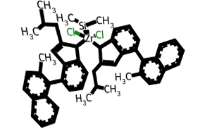 Cc1ccc2ccccc2c1-c1cccc2c1C=C(CC(C)C)[CH]2[Zr]([Cl])([Cl])([CH]1C(CC(C)C)=Cc2c(-c3c(C)ccc4ccccc34)cccc21)=[Si](C)C